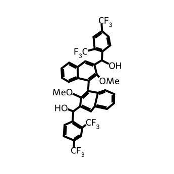 COc1c(C(O)c2ccc(C(F)(F)F)cc2C(F)(F)F)cc2ccccc2c1-c1c(OC)c(C(O)c2ccc(C(F)(F)F)cc2C(F)(F)F)cc2ccccc12